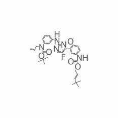 C=CCN(C(=O)OC(C)(C)C)c1cccc(Nc2ncc(F)c(-c3cc(NC(=O)OCC=CC(C)(C)C)ccc3OC)n2)c1